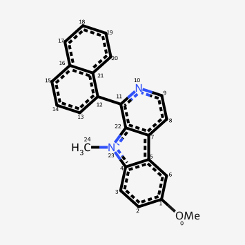 COc1ccc2c(c1)c1ccnc(-c3cccc4ccccc34)c1n2C